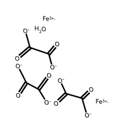 O.O=C([O-])C(=O)[O-].O=C([O-])C(=O)[O-].O=C([O-])C(=O)[O-].[Fe+3].[Fe+3]